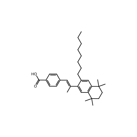 CCCCCCCCc1cc2c(cc1C(C)=Cc1ccc(C(=O)O)cc1)C(C)(C)CCC2(C)C